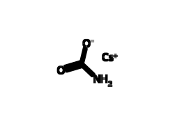 NC(=O)[O-].[Cs+]